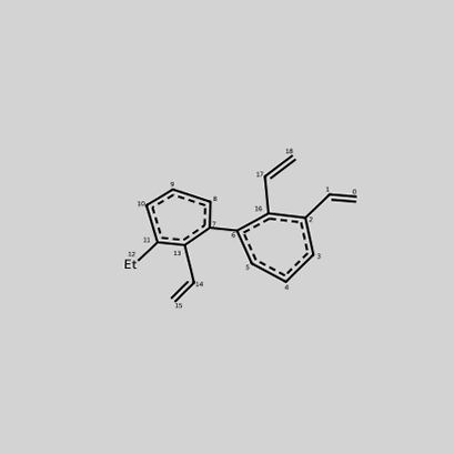 C=Cc1cccc(-c2cccc(CC)c2C=C)c1C=C